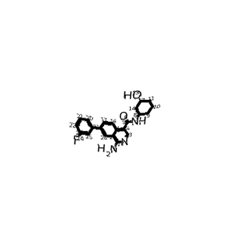 Nc1ncc(C(=O)NC2CCC[C@@H](O)C2)c2ccc(-c3cccc(F)c3)cc12